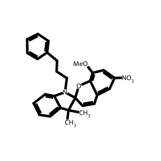 COc1cc([N+](=O)[O-])cc2c1OC1(C=C2)N(CCCc2ccccc2)c2ccccc2C1(C)C